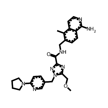 COCc1nc(C(=O)NCc2ccc3c(N)nccc3c2C)nn1Cc1ccc(N2CCCC2)nc1